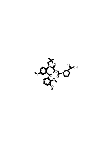 COc1cccc([C@@H]2S[C@@H](CC(=O)N3CCCC(C(=O)O)C3)C(=O)N(CC(C)(C)C)c3ccc(SC)cc32)c1OC